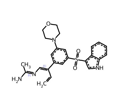 C=C/C(=C\N=C(/C)N)c1cc(N2CCOCC2)cc(S(=O)(=O)c2c[nH]c3ccccc23)c1